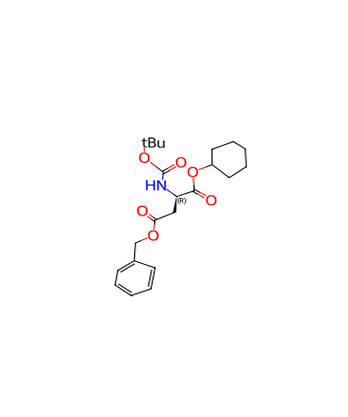 CC(C)(C)OC(=O)N[C@H](CC(=O)OCc1ccccc1)C(=O)OC1CCCCC1